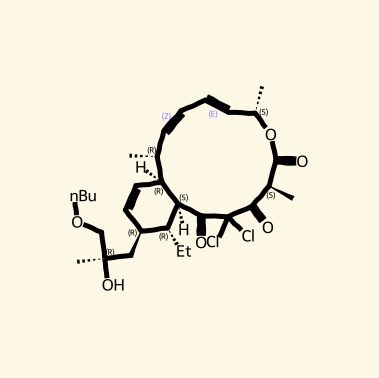 CCCCOC[C@](C)(O)C[C@H]1C=C[C@@H]2[C@@H](C(=O)C(Cl)(Cl)C(=O)[C@H](C)C(=O)O[C@@H](C)/C=C/C=C\[C@H]2C)[C@@H]1CC